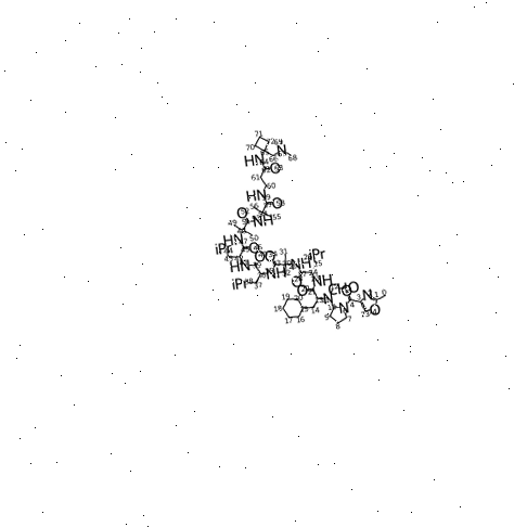 Cc1nc(C(=O)N2CCC[C@H]2N(C=O)[C@@H](CC2CCCCC2)C(=O)N[C@@H](CC(C)C)C(=O)NC(C)(C)C(=O)N[C@@H](CC(C)C)C(=O)N[C@@H](CC(C)C)C(=O)NC(C)(C)C(=O)NC(C)(C)C(=O)NCCC(=O)NC2(CN(C)C)CCC2)co1